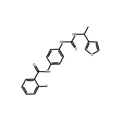 CC(NC(=S)Nc1ccc(NC(=O)c2ccccc2F)cc1)c1ccsc1